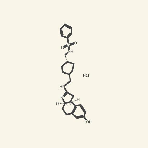 Cl.O=S(=O)(NC[C@H]1CC[C@H](CNC2=N[C@@H]3CCc4cc(O)ccc4[C@@H]3C2)CC1)c1ccccc1